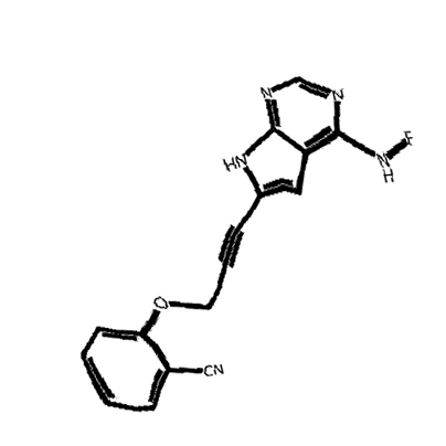 N#Cc1ccccc1OCC#Cc1cc2c(NF)ncnc2[nH]1